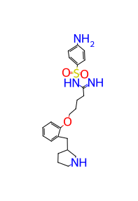 N=C(CCCCOc1ccccc1CC1CCCNC1)NS(=O)(=O)c1ccc(N)cc1